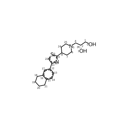 OC[C@H](O)CN1CCC(c2nc(-c3ccc4c(c3)CCCC4)cs2)CC1